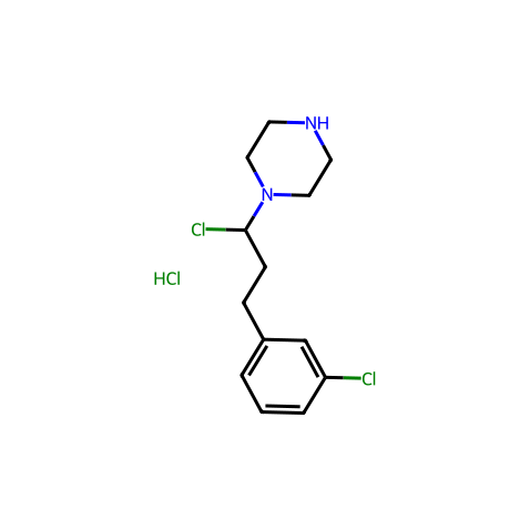 Cl.Clc1cccc(CCC(Cl)N2CCNCC2)c1